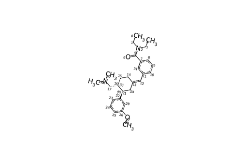 CCN(CC)C(=O)c1cccc(C=C2CC[C@@H](CN(C)C)[C@H](c3cccc(OC)c3)C2)c1